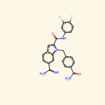 N=C(N)c1ccc2cc(C(=O)Nc3ccc(F)c(F)c3)n(Cc3ccc(C(N)=O)cc3)c2c1